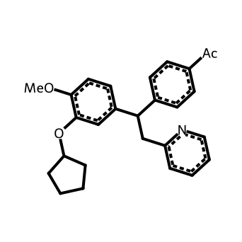 COc1ccc(C(Cc2ccccn2)c2ccc(C(C)=O)cc2)cc1OC1CCCC1